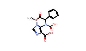 COC(=O)C(c1ccccc1)N(C(=O)O)c1[nH]cnc1C(=O)O